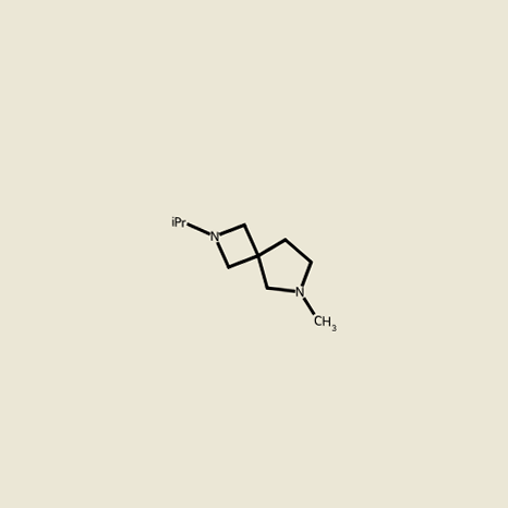 CC(C)N1CC2(CCN(C)C2)C1